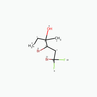 CCC(C)(O)C(Br)CC(F)(F)Br